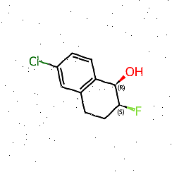 O[C@@H]1c2ccc(Cl)cc2CC[C@@H]1F